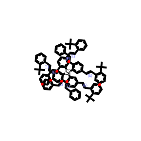 CC(C)(C)c1ccccc1/C=C/c1ccc(/C=C/c2ccccc2)c([Si](c2cc(/C=C/c3ccccc3C(C)(C)C)ccc2/C=C/c2ccccc2)(c2cc(/C=C/c3ccccc3C(C)(C)C)ccc2/C=C/c2ccccc2)c2cc(/C=C/c3ccccc3C(C)(C)C)ccc2/C=C/c2ccccc2)c1